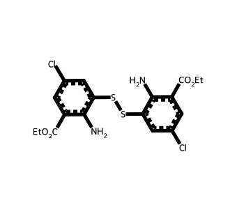 CCOC(=O)c1cc(Cl)cc(SSc2cc(Cl)cc(C(=O)OCC)c2N)c1N